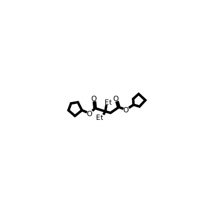 CCC(CC)(CC(=O)OC1CCCC1)C(=O)OC1CCCC1